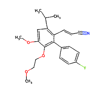 COCCOc1c(OC)cc(C(C)C)c(C=CC#N)c1-c1ccc(F)cc1